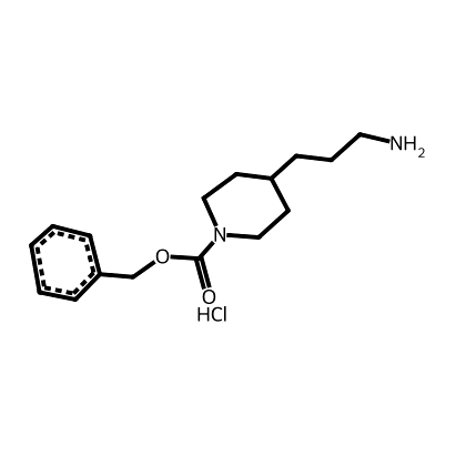 Cl.NCCCC1CCN(C(=O)OCc2ccccc2)CC1